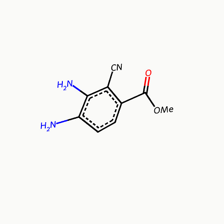 COC(=O)c1ccc(N)c(N)c1C#N